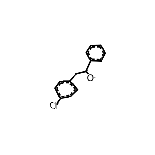 [O]C(Cc1ccc(Cl)cc1)c1ccccc1